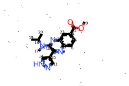 COC(=O)c1ccc2nc(-c3cn[nH]c3)c(N(C)C(C)C)nc2c1